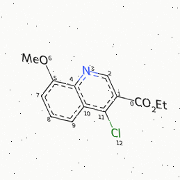 CCOC(=O)c1cnc2c(OC)cccc2c1Cl